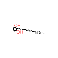 CCCCCCCCCCCCCCCC=CCCCCc1c(O)cccc1O